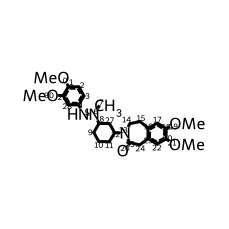 COc1ccc(NN(C)C2CCCC(N3CCc4cc(OC)c(OC)cc4CC3=O)C2)cc1OC